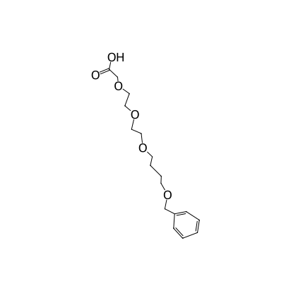 O=C(O)COCCOCCOCCCCOCc1ccccc1